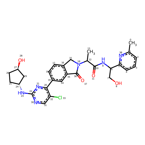 Cc1cccc(C(CO)NC(=O)C(C)N2Cc3ccc(-c4nc(N[C@@H]5CC[C@@H](O)C5)ncc4Cl)cc3C2=O)n1